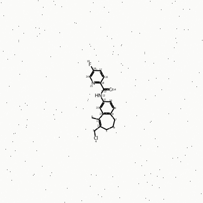 CC1=C(CCl)CCCc2ccc(NC(=O)c3ccc(F)cn3)cc21